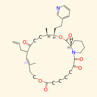 C=CCC1/C=C(\C)CCOC(=O)CCCCC(=O)C(=O)N2CCCC[C@H]2C(=O)O[C@H](CCc2cccnc2)[C@H](C)CCC1=O